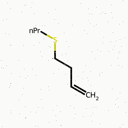 C=CC[CH]SCCC